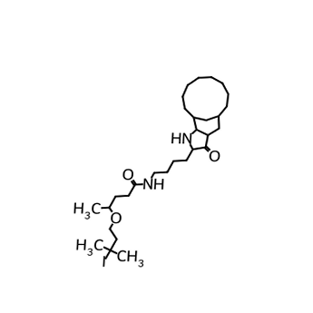 CC(CCC(=O)NCCCCC1NC2C3CCCCCCCCC(C3)CC2C1=O)OCCC(C)(C)I